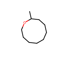 CC1CCCCCCCCO1